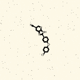 N#Cc1cnc2[nH]c(-c3ccc(Oc4ccc(Cl)cc4)cc3)nc2c1